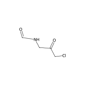 O=CNCC(=O)CCl